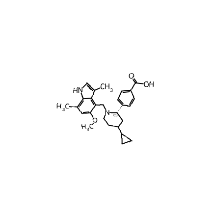 COc1cc(C)c2[nH]cc(C)c2c1CN1CCC(C2CC2)C[C@H]1c1ccc(C(=O)O)cc1